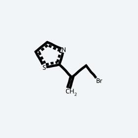 C=C(CBr)c1nccs1